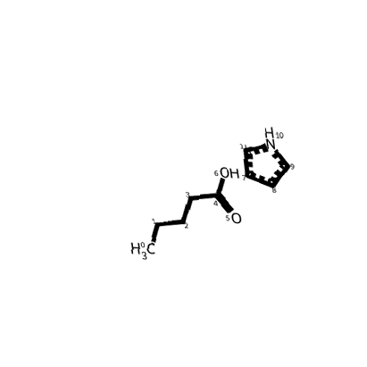 CCCCC(=O)O.c1cc[nH]c1